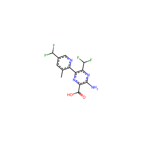 Cc1cc(C(F)F)cnc1-c1nc(C(=O)O)c(N)nc1C(F)F